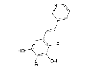 CC(C)c1c(O)cc(C=Cc2cccnc2)c(F)c1O